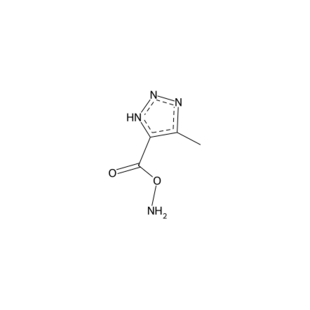 Cc1nn[nH]c1C(=O)ON